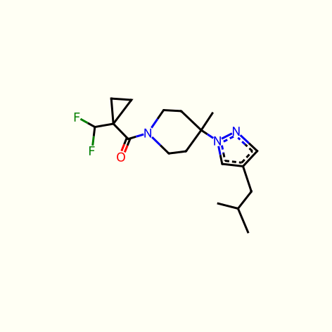 CC(C)Cc1cnn(C2(C)CCN(C(=O)C3(C(F)F)CC3)CC2)c1